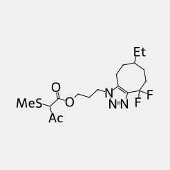 CCC1CCc2c(nnn2CCCOC(=O)C(SC)C(C)=O)C(F)(F)CC1